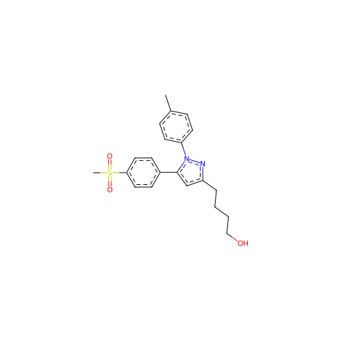 Cc1ccc(-n2nc(CCCCO)cc2-c2ccc(S(C)(=O)=O)cc2)cc1